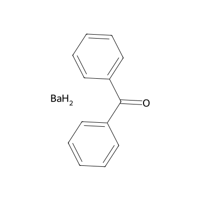 O=C(c1ccccc1)c1ccccc1.[BaH2]